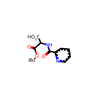 CCC(C)OC(=O)C(NC(=O)c1ccccn1)C(=O)O